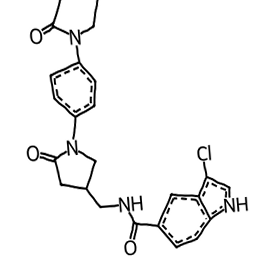 O=C(NCC1CC(=O)N(c2ccc(N3CCCCC3=O)cc2)C1)c1ccc2[nH]cc(Cl)c2c1